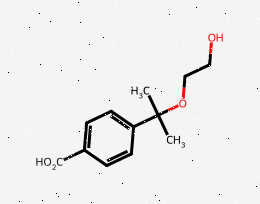 CC(C)(OCCO)c1ccc(C(=O)O)cc1